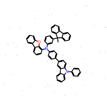 CC1(c2cccc(N(c3ccc(-c4ccc5c(c4)c4ccccc4n5-c4ccccc4)cc3)c3cccc4c3oc3ccccc34)c2)c2ccccc2-c2ccccc21